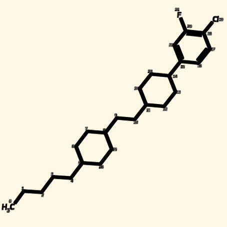 CCCCCC1CCC(CCC2CCC(c3ccc(Cl)c(F)c3)CC2)CC1